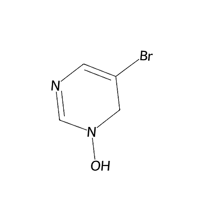 ON1C=NC=C(Br)C1